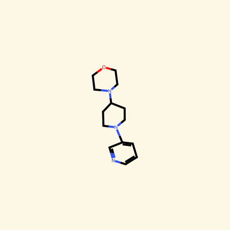 c1cncc(N2CCC(N3CCOCC3)CC2)c1